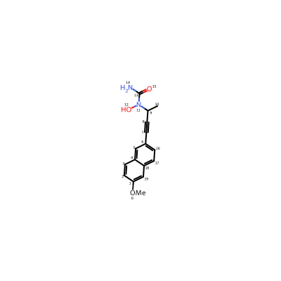 COc1ccc2cc(C#CC(C)N(O)C(N)=O)ccc2c1